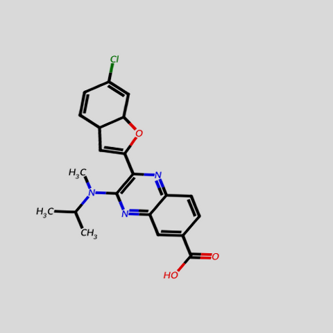 CC(C)N(C)c1nc2cc(C(=O)O)ccc2nc1C1=CC2C=CC(Cl)=CC2O1